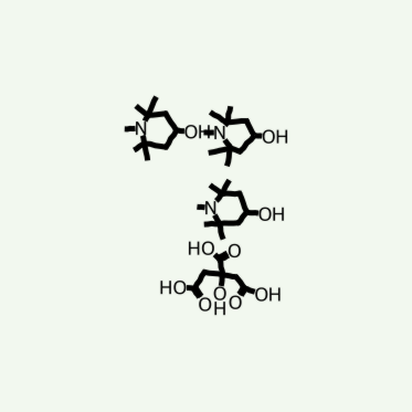 CN1C(C)(C)CC(O)CC1(C)C.CN1C(C)(C)CC(O)CC1(C)C.CN1C(C)(C)CC(O)CC1(C)C.O=C(O)CC(O)(CC(=O)O)C(=O)O